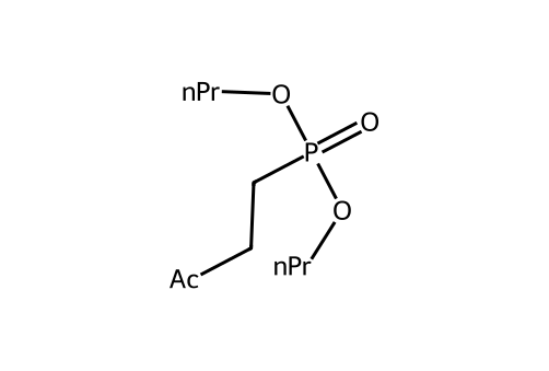 CCCOP(=O)(CCC(C)=O)OCCC